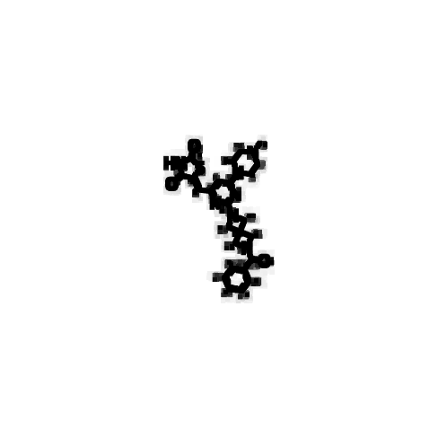 CN1CCN(c2cc(/C=C3\SC(=O)NC3=O)nc(N3CC4(CN(C(=O)c5ccccc5)C4)C3)n2)CC1